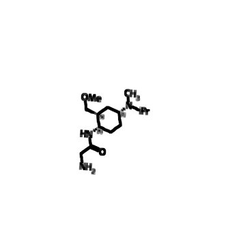 COC[C@H]1C[C@H](N(C)C(C)C)CC[C@@H]1NC(=O)CN